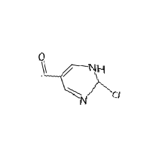 O=[C]C1=CNC(Cl)N=C1